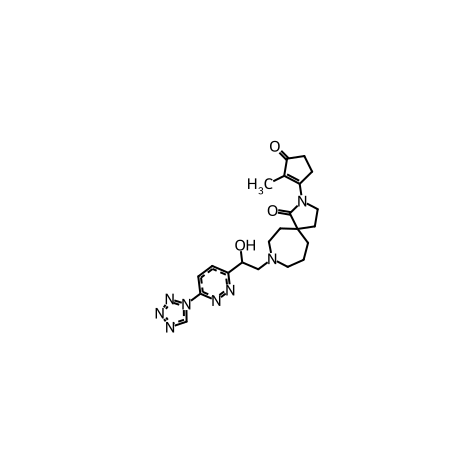 CC1=C(N2CCC3(CCCN(CC(O)c4ccc(-n5cnnn5)nn4)CC3)C2=O)CCC1=O